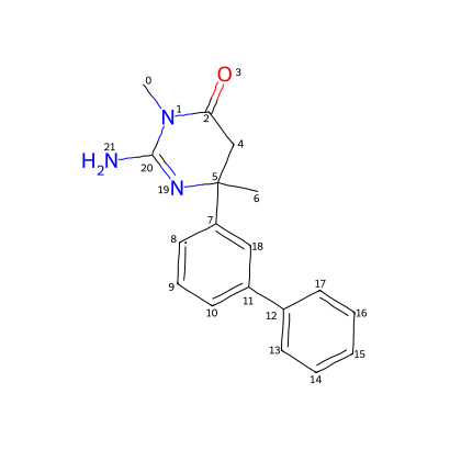 CN1C(=O)CC(C)(c2[c]ccc(-c3ccccc3)c2)N=C1N